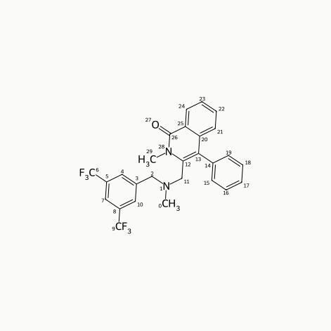 CN(Cc1cc(C(F)(F)F)cc(C(F)(F)F)c1)Cc1c(-c2ccccc2)c2ccccc2c(=O)n1C